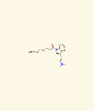 CCCCCCCCCCCCCCCC(=O)n1cc(CCN(C)C)c2ccccc21